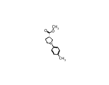 COC(=O)[C@H]1CCN(c2ccc(C)cc2)C1